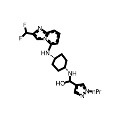 CCCn1cc(C(O)N[C@H]2CC[C@@H](Nc3cccc4nc(C(F)F)cn34)CC2)cn1